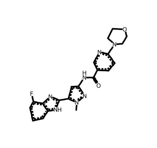 Cn1nc(NC(=O)c2ccc(N3CCOCC3)nc2)cc1-c1nc2c(F)cccc2[nH]1